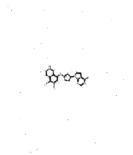 Cc1ncnc2c1ccn2C1CC[C@@H](Oc2cc(F)c(F)c3c2CNCC3)C1